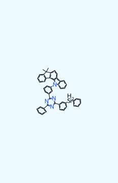 CC1(C)c2ccccc2-c2c1ccc1c3ccccc3n(-c3cccc(-c4nc(-c5ccccc5)nc(-c5cccc([SiH2]c6ccccc6)c5)n4)c3)c21